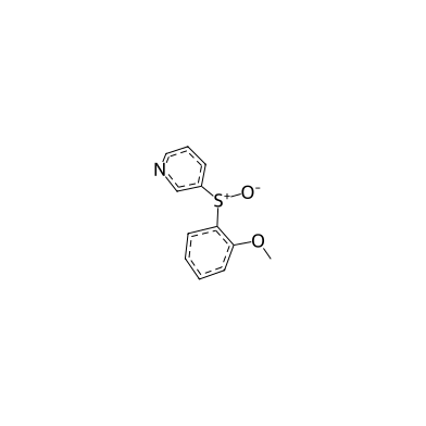 COc1ccccc1[S+]([O-])c1cccnc1